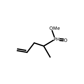 C=CCC(C)[PH](=O)OC